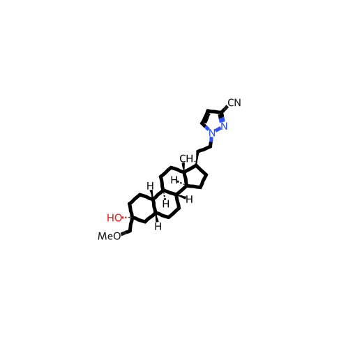 COC[C@@]1(O)CC[C@H]2[C@H](CC[C@@H]3[C@@H]2CC[C@]2(C)[C@@H](CCn4ccc(C#N)n4)CC[C@@H]32)C1